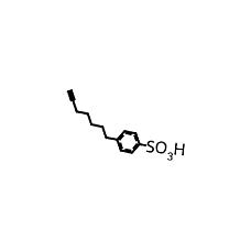 C#CCCCCCc1ccc(S(=O)(=O)O)cc1